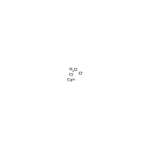 O.[Cd+2].[Cl-].[Cl-]